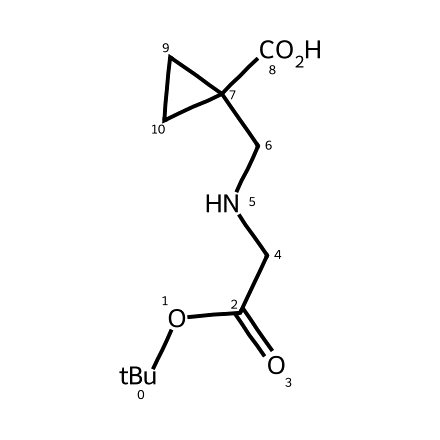 CC(C)(C)OC(=O)CNCC1(C(=O)O)CC1